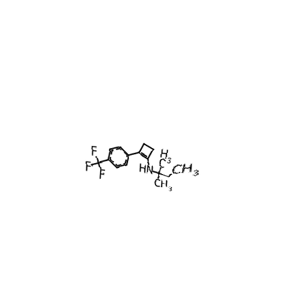 CCC(C)(C)NC1=C(c2ccc(C(F)(F)F)cc2)CC1